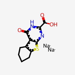 O=C(O)c1nc2sc3c(c2c(=O)[nH]1)CCCC3.[Na].[Na]